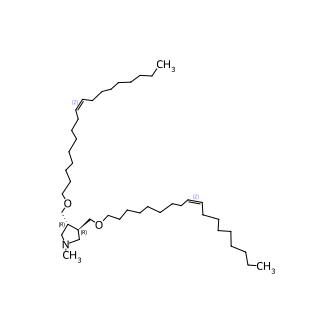 CCCCCCCC/C=C\CCCCCCCCOC[C@H]1CN(C)C[C@@H]1COCCCCCCCC/C=C\CCCCCCCC